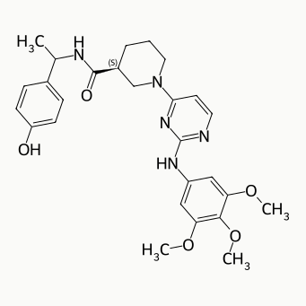 COc1cc(Nc2nccc(N3CCC[C@H](C(=O)NC(C)c4ccc(O)cc4)C3)n2)cc(OC)c1OC